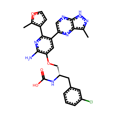 Cc1occc1-c1nc(N)c(OC[C@H](Cc2cccc(Cl)c2)NC(=O)O)cc1-c1cnc2[nH]nc(C)c2n1